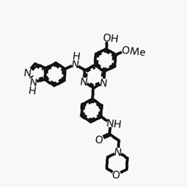 COc1cc2nc(-c3cccc(NC(=O)CN4CCOCC4)c3)nc(Nc3ccc4[nH]ncc4c3)c2cc1O